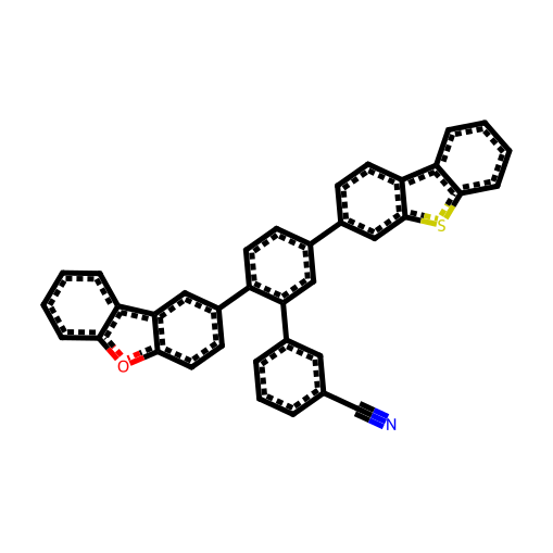 N#Cc1cccc(-c2cc(-c3ccc4c(c3)sc3ccccc34)ccc2-c2ccc3oc4ccccc4c3c2)c1